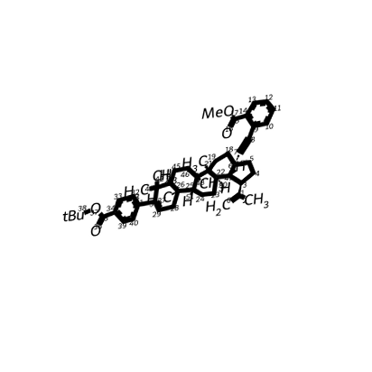 C=C(C)[C@@H]1CC[C@]2(C#Cc3ccccc3C(=O)OC)CC[C@]3(C)[C@H](CC[C@@H]4[C@@]5(C)CC=C(c6ccc(C(=O)OC(C)(C)C)cc6)C(C)(C)[C@@H]5CC[C@]43C)[C@@H]12